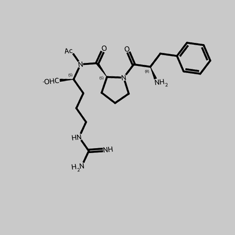 CC(=O)N(C(=O)[C@@H]1CCCN1C(=O)[C@H](N)Cc1ccccc1)[C@H]([C]=O)CCCNC(=N)N